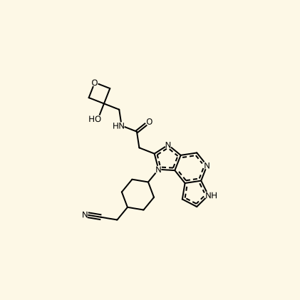 N#CCC1CCC(n2c(CC(=O)NCC3(O)COC3)nc3cnc4[nH]ccc4c32)CC1